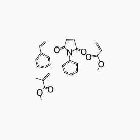 C=C(C)C(=O)OC.C=CC(=O)OC.C=Cc1ccccc1.O=C1C=CC(=O)N1c1ccccc1